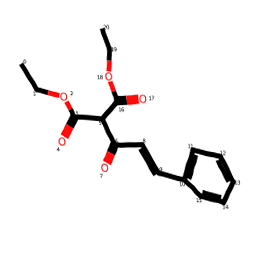 CCOC(=O)C(C(=O)/C=C/c1ccccc1)C(=O)OCC